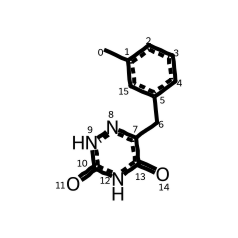 Cc1cccc(Cc2n[nH]c(=O)[nH]c2=O)c1